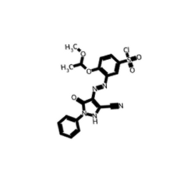 COC(C)Oc1ccc(S(=O)(=O)Cl)cc1/N=N/c1c(C#N)[nH]n(-c2ccccc2)c1=O